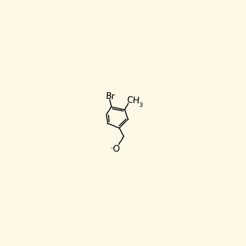 Cc1cc(C[O])ccc1Br